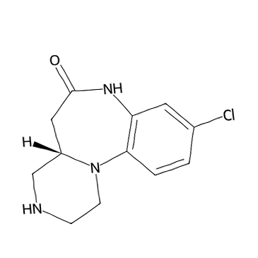 O=C1C[C@H]2CNCCN2c2ccc(Cl)cc2N1